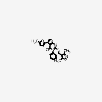 Cc1ccc(-c2csc3nc(SCc4c(C)noc4C)n(-c4ccccc4)c(=O)c23)o1